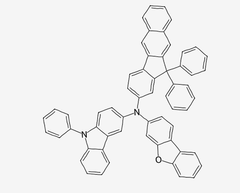 c1ccc(-n2c3ccccc3c3cc(N(c4ccc5c(c4)C(c4ccccc4)(c4ccccc4)c4cc6ccccc6cc4-5)c4ccc5c(c4)oc4ccccc45)ccc32)cc1